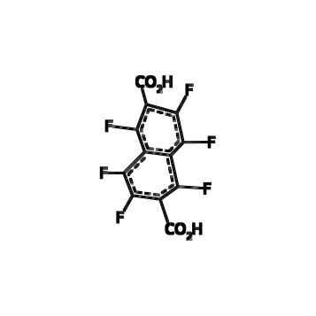 O=C(O)c1c(F)c(F)c2c(F)c(C(=O)O)c(F)c(F)c2c1F